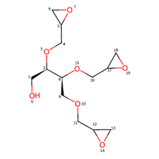 OC[C@@H](OCC1CO1)[C@H](COCC1CO1)OCC1CO1